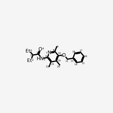 CCC(CC)C(=O)Nc1nc(C)c(OCc2ccccc2)c(C)c1C